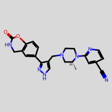 C[C@@H]1CN(Cc2c[nH]nc2-c2ccc3c(c2)CNC(=O)O3)CCN1c1cc(C#N)ccn1